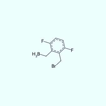 BCc1c(F)ccc(F)c1CBr